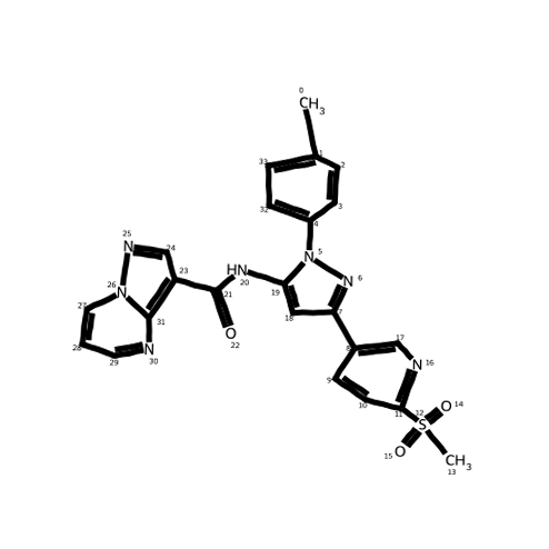 Cc1ccc(-n2nc(-c3ccc(S(C)(=O)=O)nc3)cc2NC(=O)c2cnn3cccnc23)cc1